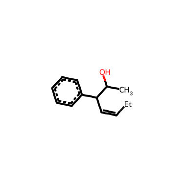 CC/C=C\C(c1ccccc1)C(C)O